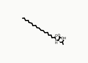 CCCCCCCCCCCCCCCCCC(=O)N[C@@H](CC(C)C)C(=O)O